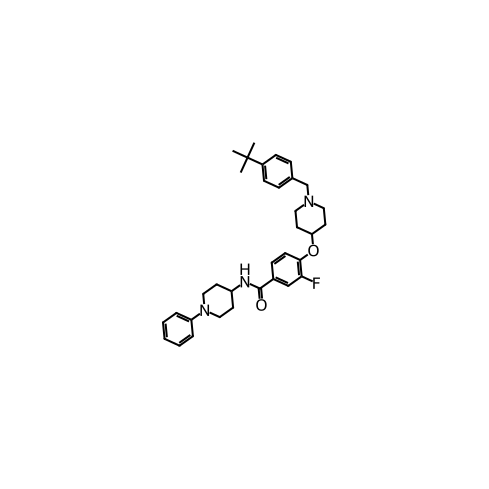 CC(C)(C)c1ccc(CN2CCC(Oc3ccc(C(=O)NC4CCN(c5ccccc5)CC4)cc3F)CC2)cc1